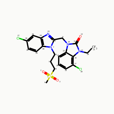 CS(=O)(=O)CCCn1c(Cn2c(=O)n(CC(F)(F)F)c3c(Cl)cccc32)nc2cc(Cl)ccc21